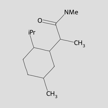 CNC(=O)C(C)C1CC(C)CCC1C(C)C